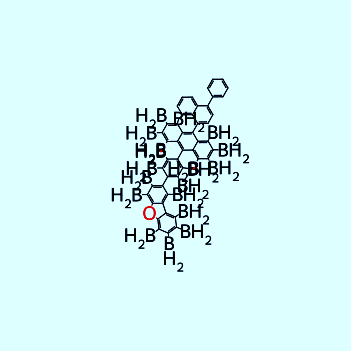 Bc1c(B)c(-c2c3c(B)c(B)c(B)c(B)c3c(-c3ccc(-c4ccccc4)c4ccccc34)c3c(B)c(B)c(B)c(B)c23)c(B)c(B)c1-c1c(B)c(B)c2oc3c(B)c(B)c(B)c(B)c3c2c1B